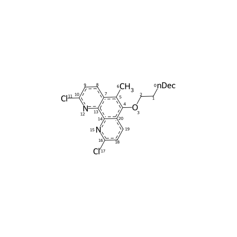 CCCCCCCCCCCCOc1c(C)c2ccc(Cl)nc2c2nc(Cl)ccc12